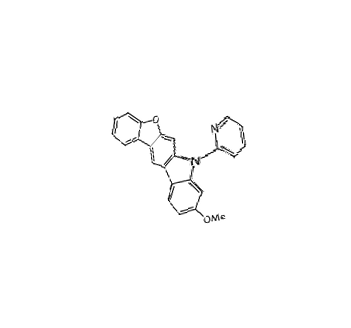 COc1ccc2c3cc4c(cc3n(-c3ccccn3)c2c1)oc1ccccc14